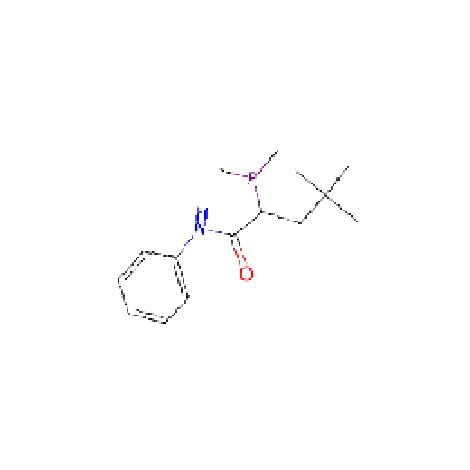 CP(C)C(CC(C)(C)C)C(=O)Nc1ccccc1